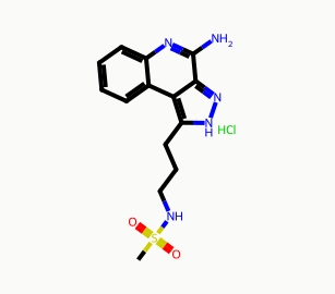 CS(=O)(=O)NCCCc1[nH]nc2c(N)nc3ccccc3c12.Cl